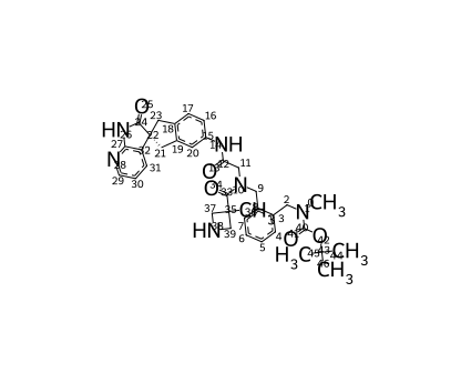 CN(Cc1ccccc1CN(CC(=O)Nc1ccc2c(c1)C[C@@]1(C2)C(=O)Nc2ncccc21)C(=O)C1(C)CNC1)C(=O)OC(C)(C)C